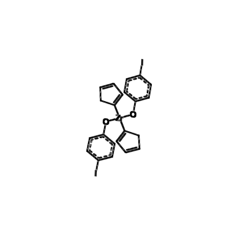 Ic1ccc([O][Zr]([O]c2ccc(I)cc2)([C]2=CC=CC2)[C]2=CC=CC2)cc1